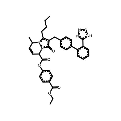 CCCCc1c(Cc2ccc(-c3ccccc3-c3nnn[nH]3)cc2)c(=O)n2n1C(C)C=CC2C(=O)Oc1ccc(C(=O)OCC)cc1